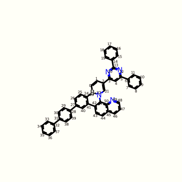 C1=CC(c2cc(-c3ccccc3)nc(-c3ccccc3)n2)=CN2B1c1ccc(-c3ccc(-c4ccccc4)cc3)cc1-c1ccc3cccnc3c12